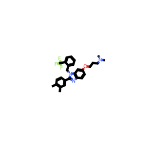 Cc1ccc(-c2nc3ccc(OCCCN(C)C)cc3n2Cc2ccccc2C(F)(F)F)cc1C